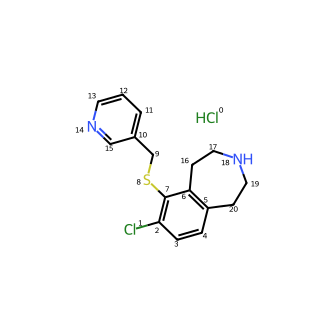 Cl.Clc1ccc2c(c1SCc1cccnc1)CCNCC2